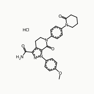 COc1ccc(-n2nc(C(N)=O)c3c2C(=O)N(c2ccc(N4CCCCC4=O)cc2)CC3)cc1.Cl